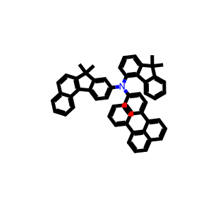 CC1(C)c2ccccc2-c2c(N(c3ccc(-c4cccc5cccc(-c6ccccc6)c45)cc3)c3ccc4c(c3)C(C)(C)c3ccc5ccccc5c3-4)cccc21